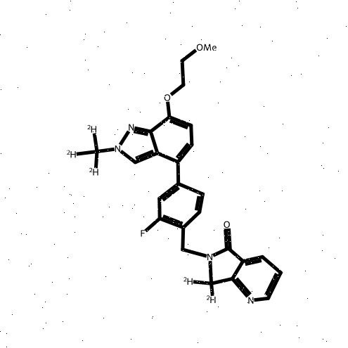 [2H]C1([2H])c2ncccc2C(=O)N1Cc1ccc(-c2ccc(OCCOC)c3nn(C([2H])([2H])[2H])cc23)cc1F